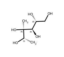 [CH2][C@H](O)[C@@](C)(O)[C@H](O)[C@H](O)CO